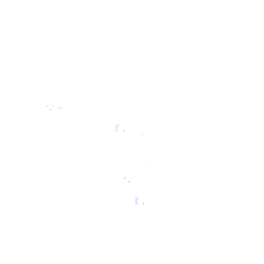 COc1ccccc1NC(=O)c1n[nH]c2ccccc12